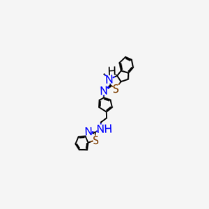 CN1/C(=N/c2ccc(CCNc3nc4ccccc4s3)cc2)SC2Cc3ccccc3[C@@H]21